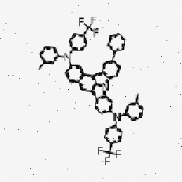 Cc1cccc(N(c2ccc(C(F)(F)F)cc2)c2ccc3cc4c5ccc(N(c6ccc(C(F)(F)F)cc6)c6cccc(C)c6)cc5n5c6ccc(-c7ccccc7)cc6c(c3c2)c45)c1